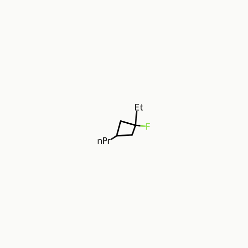 CCCC1CC(F)(CC)C1